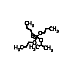 CCCO[Si](OCCC)(OCCC)OC(C)C